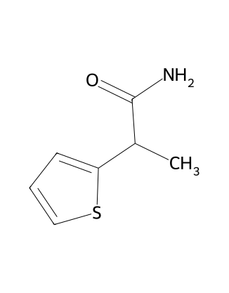 CC(C(N)=O)c1cccs1